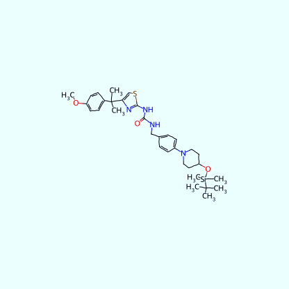 COc1ccc(C(C)(C)c2csc(NC(=O)NCc3ccc(N4CCC(O[Si](C)(C)C(C)(C)C)CC4)cc3)n2)cc1